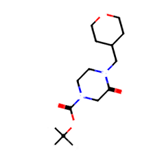 CCCC(C)(C)OC(=O)N1CCN(CC2CCOCC2)C(=O)C1